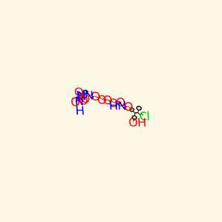 O=C(CCOCCOCCOCCOCCNc1cccc2c1C(=O)N(C1CCC(=O)NC1=O)C2=O)NCCOc1ccc(C(=C(CCCl)c2ccccc2)c2ccc(O)cc2)cc1